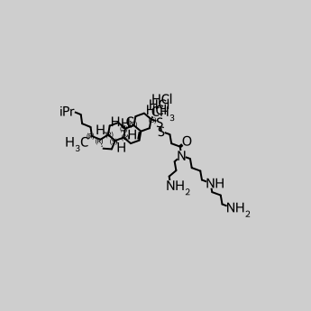 CC(C)CCC[C@@H](C)[C@H]1CC[C@H]2[C@@H]1CC[C@H]1[C@H]2CC=C2C[C@@](C)(SSCCC(=O)N(CCCN)CCCCNCCCN)CC[C@@]21C.Cl.Cl.Cl